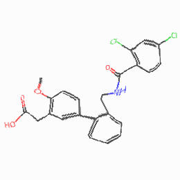 COc1ccc(-c2ccccc2CNC(=O)c2ccc(Cl)cc2Cl)cc1CC(=O)O